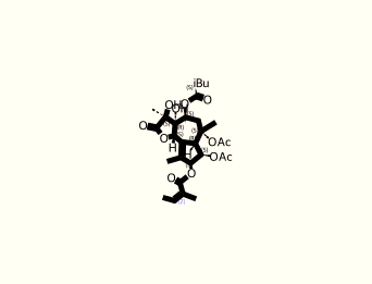 C/C=C(/C)C(=O)O[C@H]1C(C)=C2[C@H]([C@@H]1OC(C)=O)[C@@](C)(OC(C)=O)C[C@H](OC(=O)[C@@H](C)CC)[C@@]1(O)[C@H]2OC(=O)[C@@]1(C)O